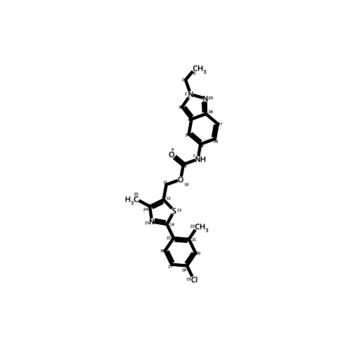 CCn1cc2cc(NC(=O)OCc3sc(-c4ccc(Cl)cc4C)nc3C)ccc2n1